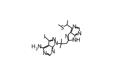 CSC(C)c1ncnc2[nH]c(CC(C)(C)n3nc(I)c4c(N)ncnc43)nc12